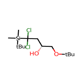 CC(C)(C)OC[C@H](O)CC(Cl)(Cl)[Si](C)(C)C(C)(C)C